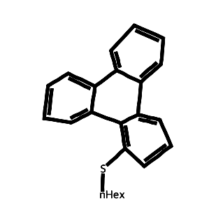 CCCCCCSc1cccc2c3ccccc3c3ccccc3c12